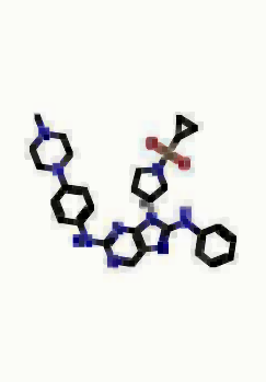 CN1CCN(c2ccc(Nc3ncc4nc(Nc5ccccc5)n([C@@H]5CCN(S(=O)(=O)C6CC6)C5)c4n3)cc2)CC1